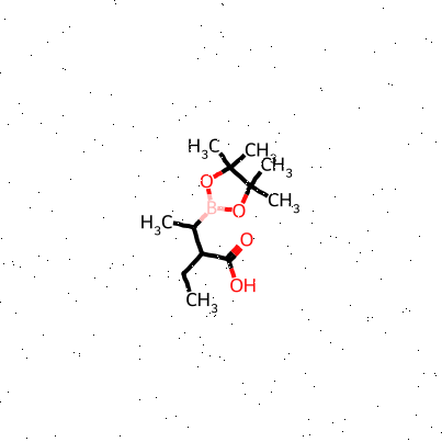 CCC(C(=O)O)C(C)B1OC(C)(C)C(C)(C)O1